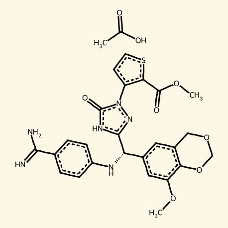 CC(=O)O.COC(=O)c1sccc1-n1nc([C@@H](Nc2ccc(C(=N)N)cc2)c2cc3c(c(OC)c2)OCOC3)[nH]c1=O